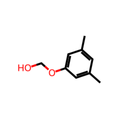 Cc1cc(C)cc(OCO)c1